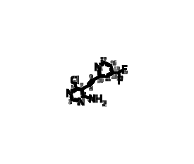 Nc1ncnc(Cl)c1C#Cc1cc(C(F)F)ccn1